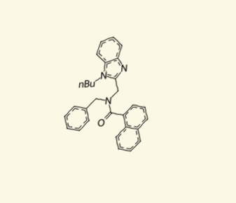 CCCCn1c(CN(Cc2ccccc2)C(=O)c2cccc3ccccc23)nc2ccccc21